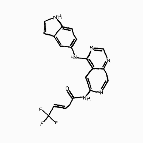 O=C(C=CC(F)(F)F)Nc1cc2c(Nc3ccc4[nH]ccc4c3)ncnc2cn1